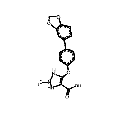 CN1NC(Oc2ccc(-c3ccc4c(c3)OCO4)cc2)=C(C(=O)O)N1